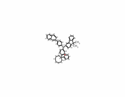 CC1(C)c2ccccc2-c2cc(N(c3ccc(-c4ccc5ccccc5c4)cc3)c3ccc(C4(c5ccccc5)CCCCCCC4)cc3)ccc21